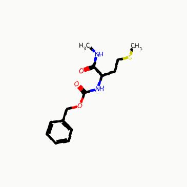 CNC(=O)C(CCSC)NC(=O)OCc1ccccc1